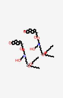 CCCCCCCCOC(CCCCCCC)O[Si](C)(C)CCCCCCN(CCCCO)CCCCOC(=O)CC[C@@H](C)C1CCC2C3CCC4C[C@H](OC)CC[C@]4(C)C3CC[C@@]21C.CCCCCCCCOC(CCCCCCC)O[Si](C)(C)CCCCCCN(CCCCO)CCCCOC(=O)CC[C@@H](C)C1CCC2C3CCC4C[C@H](OC)CC[C@]4(C)C3CC[C@@]21C